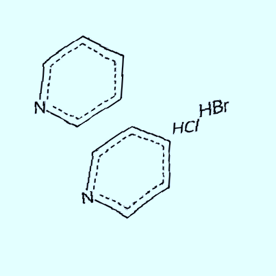 Br.Cl.c1ccncc1.c1ccncc1